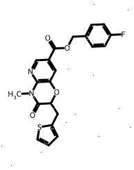 CN1C(=O)C(Cc2cccs2)Oc2cc(C(=O)OCc3ccc(F)cc3)cnc21